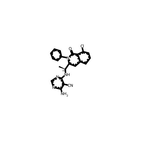 C[C@H](Nc1ncnc(N)c1C#N)c1cc2cccc(Cl)c2c(=O)n1-c1ccccc1